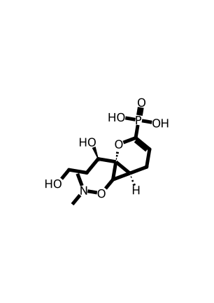 CN(C)OC1[C@@H]2CC=C(P(=O)(O)O)O[C@@]12[C@H](O)CCO